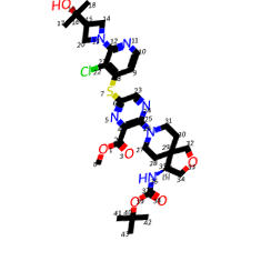 COC(=O)c1nc(Sc2ccnc(N3CC(C(C)(C)O)C3)c2Cl)cnc1N1CCC2(CC1)COC[C@H]2NC(=O)OC(C)(C)C